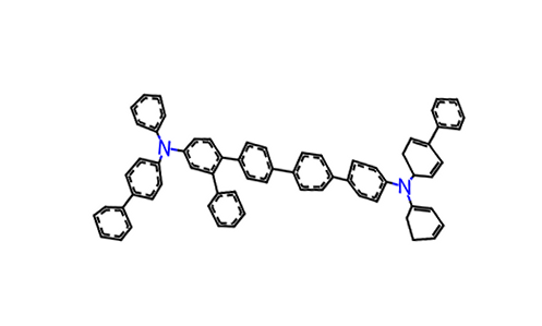 C1=CCCC(N(c2ccc(-c3ccc(-c4ccc(-c5ccc(N(c6ccccc6)c6ccc(-c7ccccc7)cc6)cc5-c5ccccc5)cc4)cc3)cc2)C2C=CC(c3ccccc3)=CC2)=C1